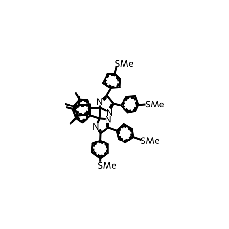 CSc1ccc(C2=NC(c3cc(C)c(C)c(C)c3)(C3(c4cc(C)c(C)c(C)c4)N=C(c4ccc(SC)cc4)C(c4ccc(SC)cc4)=N3)N=C2c2ccc(SC)cc2)cc1